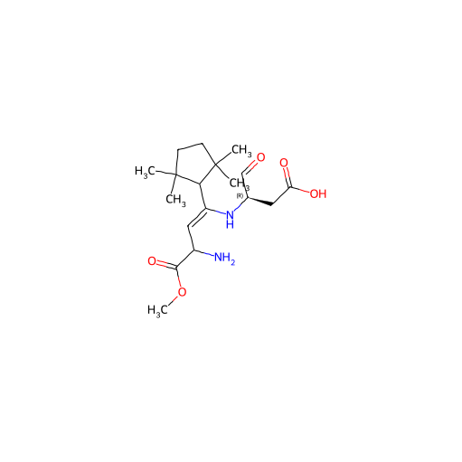 COC(=O)C(N)C=C(N[C@@H](C=O)CC(=O)O)C1C(C)(C)CCC1(C)C